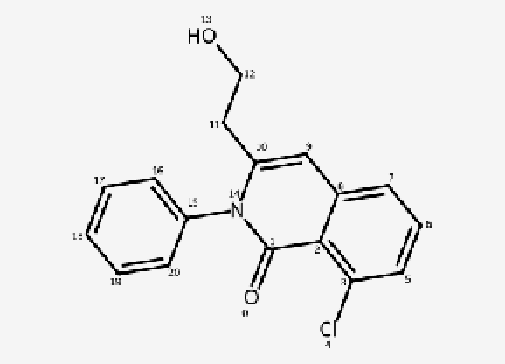 O=c1c2c(Cl)cccc2cc(CCO)n1-c1ccccc1